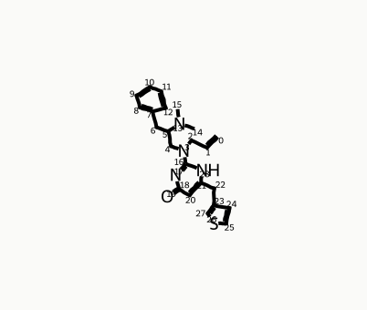 C=CCN(CC(Cc1ccccc1)N(C)C)c1nc(=O)cc(Cc2ccsc2)[nH]1